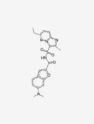 CCc1ccc2nc(C)c(S(=O)(=O)NC(=O)c3cc4ccc(N(C)C)cc4o3)n2n1